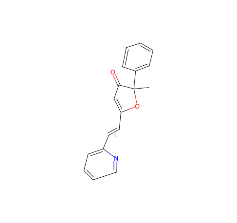 CC1(c2ccccc2)OC(/C=C/c2ccccn2)=CC1=O